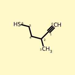 C#CC(C)CCS